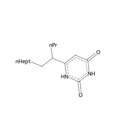 CCCCCCCCC(CCC)c1cc(=O)[nH]c(=O)[nH]1